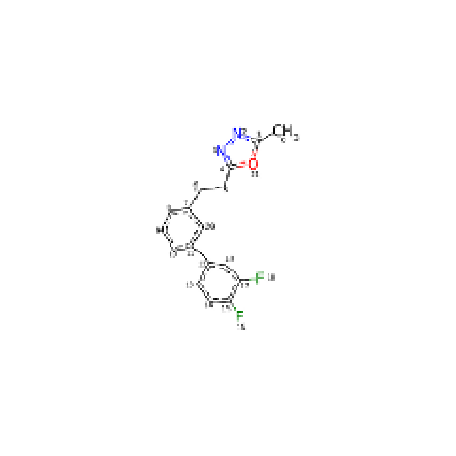 Cc1nnc(C[CH]c2cccc(-c3ccc(F)c(F)c3)c2)o1